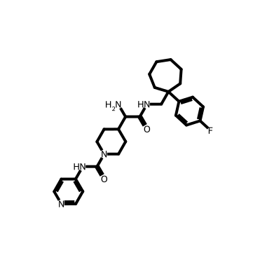 NC(C(=O)NCC1(c2ccc(F)cc2)CCCCCC1)C1CCN(C(=O)Nc2ccncc2)CC1